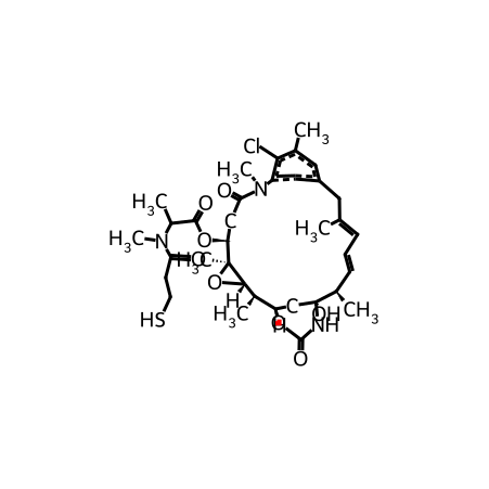 C/C1=C\C=C\[C@@H](C)[C@@]2(O)C[C@H](OC(=O)N2)[C@@H](C)[C@@H]2O[C@@]2(C)[C@@H](OC(=O)C(C)N(C)C(=O)CCS)CC(=O)N(C)c2cc(cc(C)c2Cl)C1